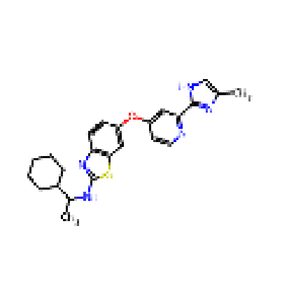 Cc1c[nH]c(-c2cc(Oc3ccc4nc(NC(C)C5CCCCC5)sc4c3)ccn2)n1